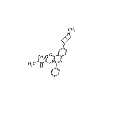 CC(C)NC(=O)Cn1c(-c2ccccc2)nc2ccc(N3CC4C3CN4C)cc2c1=O